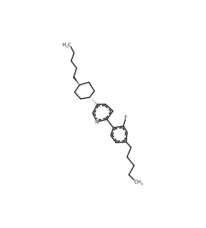 CCCCCc1ccc(-c2ccc([C@H]3CC[C@H](CCCCC)CC3)cn2)c(F)c1